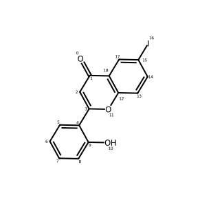 O=c1cc(-c2ccccc2O)oc2ccc(I)cc12